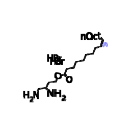 Br.Br.CCCCCCCC/C=C\CCCCCCCC(=O)OCCC(N)CN